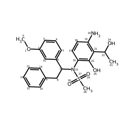 COc1cccc(C(Cc2ccccc2)N(c2ccc(N)c(C(C)O)c2O)S(C)(=O)=O)c1